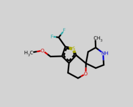 COCc1c(C(F)F)sc2c1CCOC21CCNC(C)C1